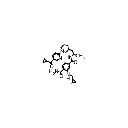 CC(CC1CCCN(c2ccc(C(=O)C3CC3)cn2)C1)NC(=O)c1ccc(C(N)=O)c(NCC2CC2)c1